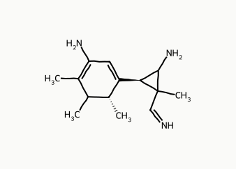 CC1=C(N)C=C([C@H]2C(N)C2(C)C=N)[C@H](C)C1C